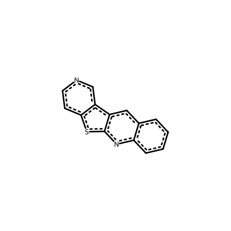 c1ccc2nc3sc4ccncc4c3cc2c1